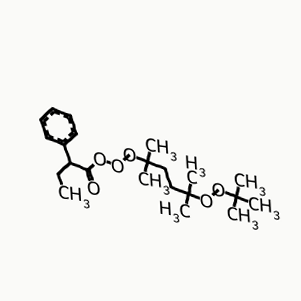 CCC(C(=O)OOOC(C)(C)CCC(C)(C)OOC(C)(C)C)c1ccccc1